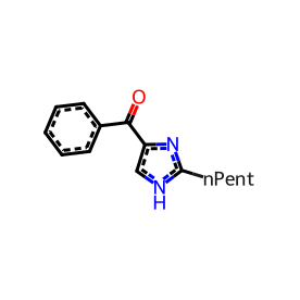 CCCCCc1nc(C(=O)c2ccccc2)c[nH]1